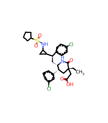 CC[C@@]1(CC(=O)O)C[C@H](c2cccc(Cl)c2)[C@H](C[C@H](c2ccc(Cl)cc2)C2CC2NS(=O)(=O)C2CCCC2)NC1=O